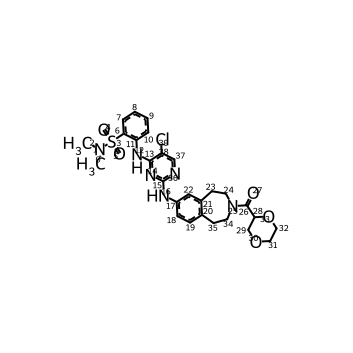 CN(C)S(=O)(=O)c1ccccc1Nc1nc(Nc2ccc3c(c2)CCN(C(=O)C2COCCO2)CC3)ncc1Cl